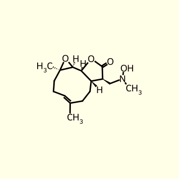 C/C1=C\CC[C@@]2(C)O[C@H]2[C@H]2OC(=O)[C@@H](CN(C)O)[C@@H]2CC1